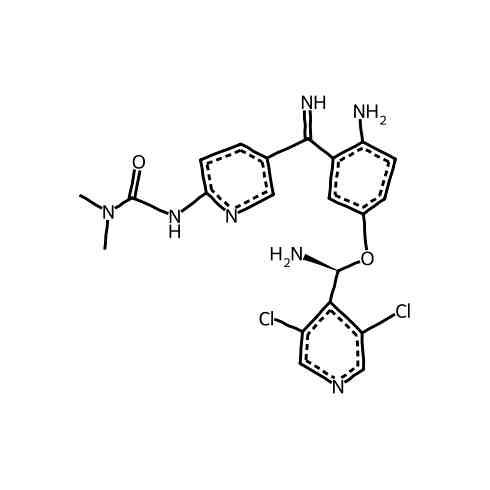 CN(C)C(=O)Nc1ccc(C(=N)c2cc(O[C@H](N)c3c(Cl)cncc3Cl)ccc2N)cn1